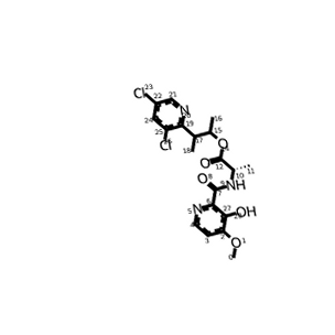 COc1ccnc(C(=O)N[C@@H](C)C(=O)OC(C)C(C)c2ncc(Cl)cc2Cl)c1O